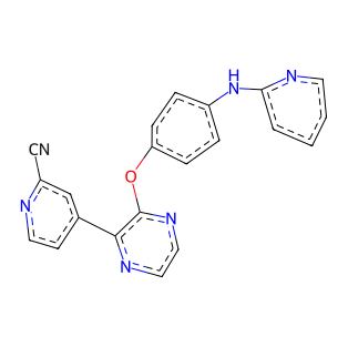 N#Cc1cc(-c2nccnc2Oc2ccc(Nc3ccccn3)cc2)ccn1